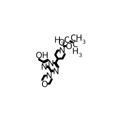 CC(C)(C)OC(=O)N1CCC(c2cnc(N3CCOCC3)c3nc(CO)cn23)CC1